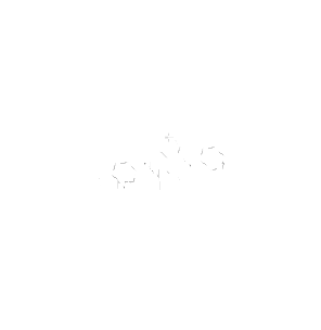 O=C(Nc1ccc(F)cc1)C1=C(O)CN(c2ccc(C(F)(F)F)nc2)NC1=O